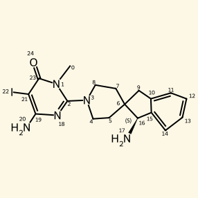 Cn1c(N2CCC3(CC2)Cc2ccccc2[C@H]3N)nc(N)c(I)c1=O